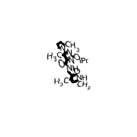 Cc1cc(C)c(CNC(=O)c2nc(OC(C)C)nc(N3CCC[C@@H]3C)c2C)c(=O)[nH]1